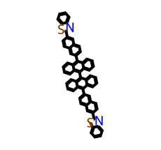 c1ccc2sc(-c3ccc4cc(-c5c6ccccc6c(-c6c7ccccc7c(-c7ccc8cc(-c9nc%10ccccc%10s9)ccc8c7)c7ccccc67)c6ccccc56)ccc4c3)nc2c1